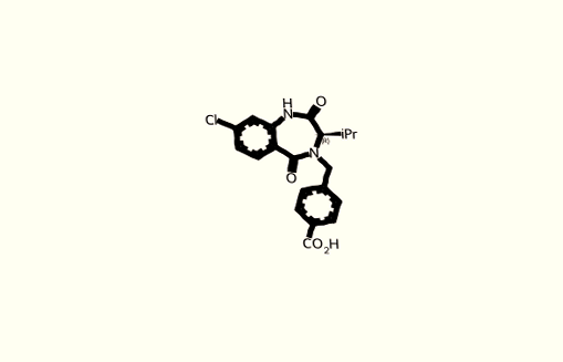 CC(C)[C@@H]1C(=O)Nc2cc(Cl)ccc2C(=O)N1Cc1ccc(C(=O)O)cc1